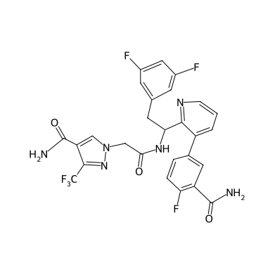 NC(=O)c1cc(-c2cccnc2C(Cc2cc(F)cc(F)c2)NC(=O)Cn2cc(C(N)=O)c(C(F)(F)F)n2)ccc1F